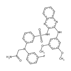 COc1cc(Nc2nc3ccccc3nc2NS(=O)(=O)c2cccc(N(CC(N)=O)c3cccc(F)c3)c2)cc(OC)c1